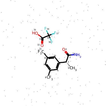 C[C@@H](C(N)=O)c1cc(C(F)(F)F)cc(C(F)(F)F)c1.O=C(O)C(F)(F)F